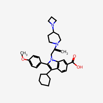 C=C(Cn1c(-c2ccc(OC)cc2)c(C2CCCCC2)c2ccc(C(=O)O)cc21)N1CCC(N2CCC2)CC1